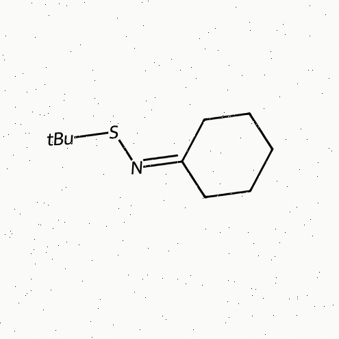 CC(C)(C)SN=C1CCCCC1